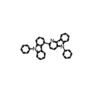 c1ccc(-n2c3ccccc3c3nc(-c4cccc5c4c4ccccc4n5-c4ccccc4)ccc32)cc1